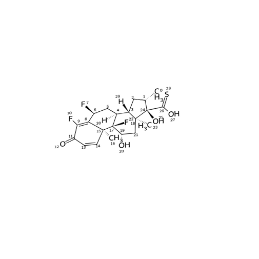 C[C@H]1C[C@H]2[C@@H]3C[C@H](F)C4=C(F)C(=O)C=C[C@]4(C)[C@@]3(F)[C@@H](O)C[C@]2(C)[C@@]1(O)C(O)=S